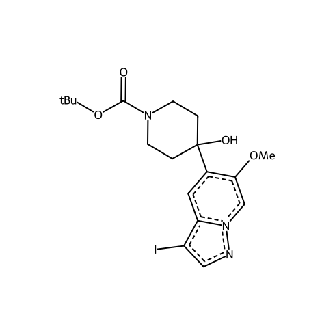 COc1cn2ncc(I)c2cc1C1(O)CCN(C(=O)OC(C)(C)C)CC1